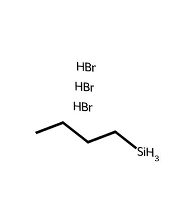 Br.Br.Br.CCCC[SiH3]